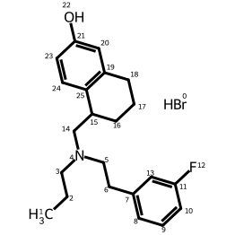 Br.CCCN(CCc1cccc(F)c1)CC1CCCc2cc(O)ccc21